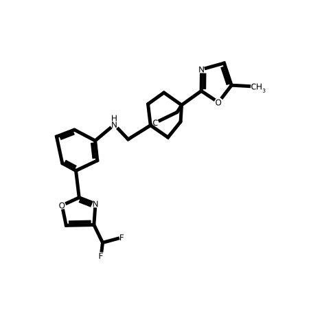 Cc1cnc(C23CCC(CNc4cccc(-c5nc(C(F)F)co5)c4)(CC2)CC3)o1